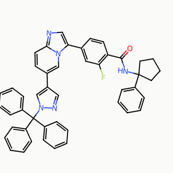 O=C(NC1(c2ccccc2)CCCC1)c1ccc(-c2cnc3ccc(-c4cnn(C(c5ccccc5)(c5ccccc5)c5ccccc5)c4)cn23)cc1F